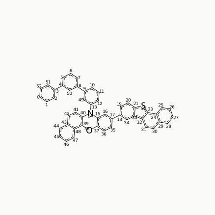 c1ccc(-c2cccc(-c3cccc(N4c5cc(-c6ccc7sc8c9ccccc9ccc8c7c6)ccc5Oc5c4ccc4ccccc54)c3)c2)cc1